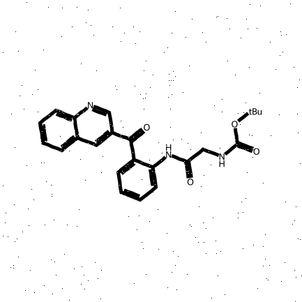 CC(C)(C)OC(=O)NCC(=O)Nc1ccccc1C(=O)c1cnc2ccccc2c1